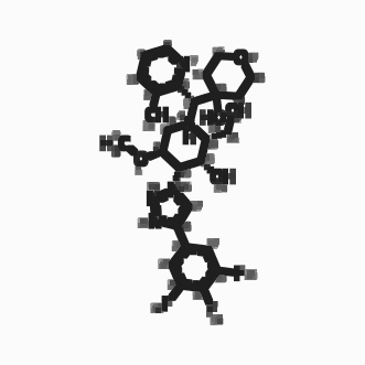 CO[C@H]1C[SH]([C@H](c2ncccc2C)C2(O)CCOCC2)[C@H](CO)[C@H](O)[C@@H]1n1cc(-c2cc(F)c(F)c(F)c2)nn1